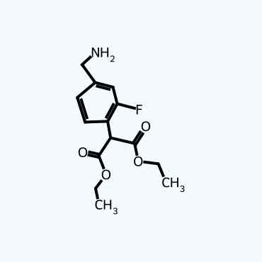 CCOC(=O)C(C(=O)OCC)c1ccc(CN)cc1F